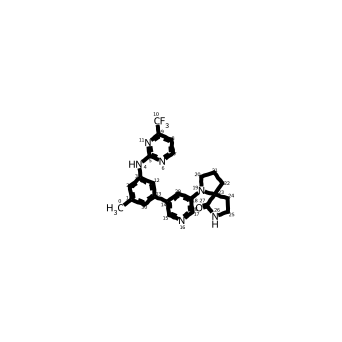 Cc1cc(Nc2nccc(C(F)(F)F)n2)cc(-c2cncc(N3CCCC34CCNC4=O)c2)c1